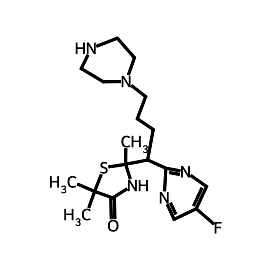 CC1(C)SC(C)(C(CCCN2CCNCC2)c2ncc(F)cn2)NC1=O